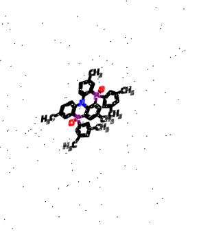 Cc1cc(C)cc(P2(=O)c3cc(C)ccc3N3c4ccc(C)cc4P(=O)(c4cc(C)cc(C)c4)c4cc(C)cc2c43)c1